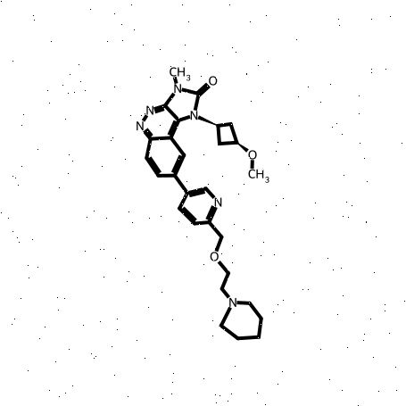 CO[C@H]1C[C@@H](n2c(=O)n(C)c3nnc4ccc(-c5ccc(COCCN6CCCCC6)nc5)cc4c32)C1